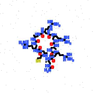 CC(CNC(=O)N[C@@H](CCCNC(=N)N)CNC(=O)NC(C)CNC(=O)N[C@@H](CCCNC(=N)N)CNC(=O)NC(CCCNC(=N)N)CNC(=O)N[C@@H](C)CNC(=O)NC(CCCNC(=N)N)CNC(=O)N[C@@H](C)CNC(N)=O)NC(=O)CCS